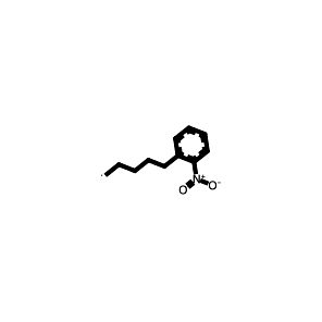 [CH2]CCCCc1ccccc1[N+](=O)[O-]